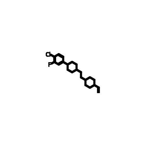 C=CC1CCC(CCC2CCC(c3ccc(Cl)c(F)c3)CC2)CC1